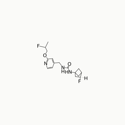 CC(F)COc1cc(CNC(=O)NC23CC(C2)[C@@H](F)C3)ccn1